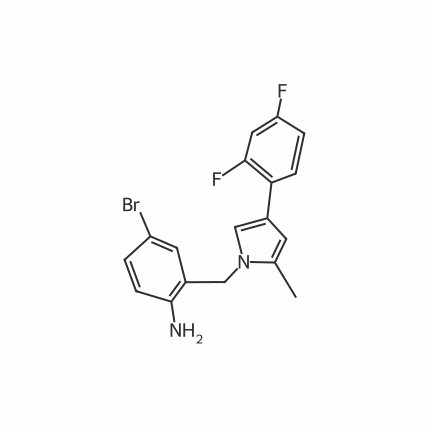 Cc1cc(-c2ccc(F)cc2F)cn1Cc1cc(Br)ccc1N